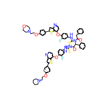 O=C(NC(=S)Nc1ccc(Oc2ccnc3cc(-c4ccc(OCCN5CCCCC5)cc4)sc23)c(F)c1)C(c1ccccc1)N(C(=O)Cc1ccccc1)C(=S)Nc1ccc(Oc2ccnc3cc(-c4ccc(OCCN5CCOCC5)cc4)sc23)c(F)c1